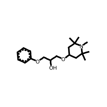 CN1C(C)(C)CC(OCC(O)COc2ccccc2)CC1(C)C